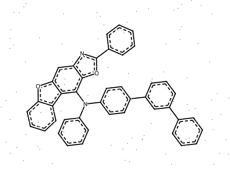 c1ccc(-c2cccc(-c3ccc(N(c4ccccc4)c4c5oc(-c6ccccc6)nc5cc5oc6ccccc6c45)cc3)c2)cc1